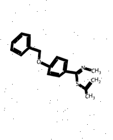 C=C(C)S/C(=N\C)c1ccc(OCc2ccccc2)cc1